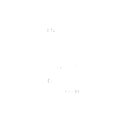 CCC(C(=O)O)C1(C)Oc2ccc(N)cc2O1